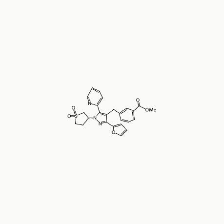 COC(=O)c1cccc(Cc2c(-c3ccco3)nn(C3CCS(=O)(=O)C3)c2-c2ccccn2)c1